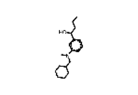 CCCC(O)c1cccc(N(C)CC2CCCCC2)c1